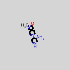 CN1CC2(CCN(C3CCNCC3N)CC2)CC1=O